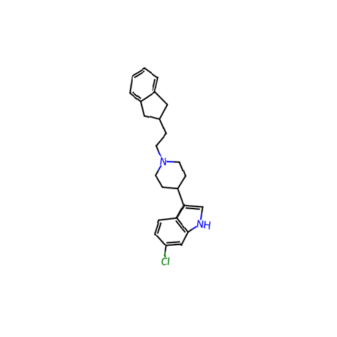 Clc1ccc2c(C3CCN(CCC4Cc5ccccc5C4)CC3)c[nH]c2c1